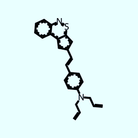 C=CCN(CC=C)c1ccc(C=Cc2cc3snc4ccccc4c-3c2)cc1